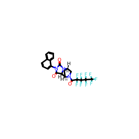 O=C1[C@@H]2[C@@H]3C[C@@H](CN3C(=O)C(F)(F)C(F)(F)C(F)(F)C(F)(F)F)N2C(=O)N1c1cccc2ccccc12